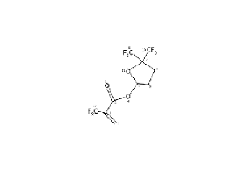 C=C(C(=O)OC1CCC(C(F)(F)F)(C(F)(F)F)O1)C(F)(F)F